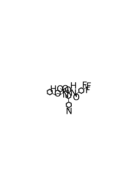 CN(C)c1ccc(-c2cc(NC(=O)c3ccc(C(F)(F)F)cc3)c(=O)n([C@@H](COCc3ccccc3)C(=O)O)c2)cc1